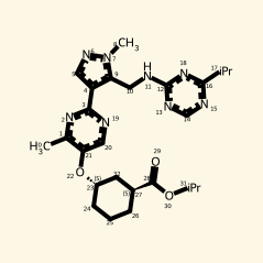 Cc1nc(-c2cnn(C)c2CNc2ncnc(C(C)C)n2)ncc1O[C@H]1CCC[C@H](C(=O)OC(C)C)C1